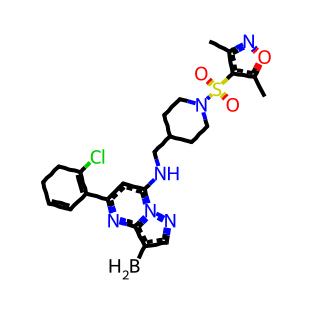 Bc1cnn2c(NCC3CCN(S(=O)(=O)c4c(C)noc4C)CC3)cc(C3=C(Cl)CCC=C3)nc12